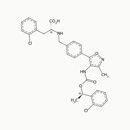 Cc1noc(-c2ccc(CN[C@H](Cc3ccccc3Cl)C(=O)O)cc2)c1NC(=O)O[C@H](C)c1ccccc1Cl